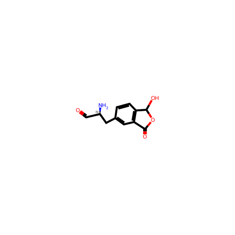 N[C@H](C=O)Cc1ccc2c(c1)C(=O)OC2O